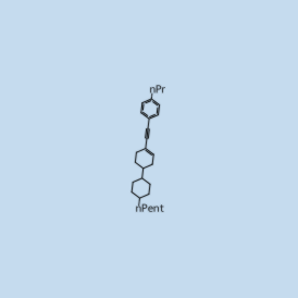 CCCCCC1CCC(C2CC=C(C#Cc3ccc(CCC)cc3)CC2)CC1